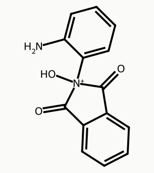 Nc1ccccc1[N+]1(O)C(=O)c2ccccc2C1=O